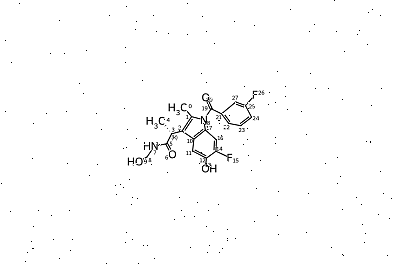 Cc1c([C@@H](C)C(=O)NCO)c2cc(O)c(F)cc2n1C(=O)c1cccc(F)c1